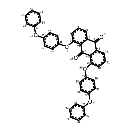 O=C1c2cccc(Oc3ccc(Oc4ccccc4)cc3)c2C(=O)c2c(Oc3ccc(Oc4ccccc4)cc3)cccc21